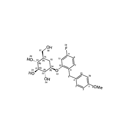 COc1ccc(Cc2ccc(F)cc2O[C@@H]2C[C@H](CO)[C@@H](O)[C@H](O)[C@H]2O)cc1